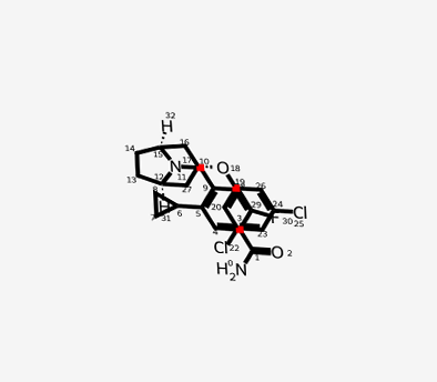 NC(=O)c1cc(C2CC2)c(CN2[C@@H]3CC[C@H]2C[C@H](Oc2cc(Cl)cc(Cl)c2)C3)cc1F